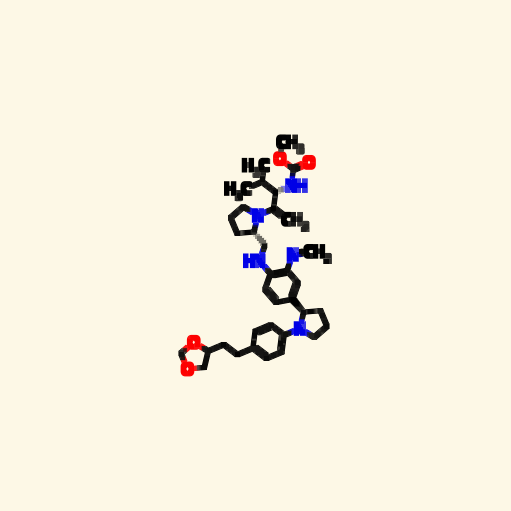 C=Nc1cc([C@H]2CCCN2c2ccc(CCC3COCO3)cc2)ccc1NC[C@@H]1CCCN1C(=C)[C@@H](NC(=O)OC)C(C)C